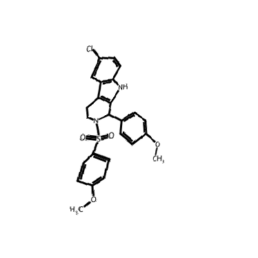 COc1ccc(C2c3[nH]c4ccc(Cl)cc4c3CCN2S(=O)(=O)c2ccc(OC)cc2)cc1